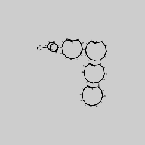 C1=C/CCCCCCCCCC/1.C1=C/CCCCCCCCCC/1.C1=C/CCCCCCCCCC/1.C1=C/CCCCCCCCCC/1.CC1CC2C=CC1C2